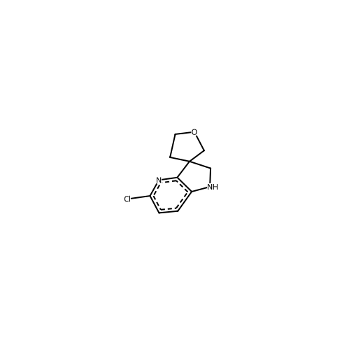 Clc1ccc2c(n1)C1(CCOC1)CN2